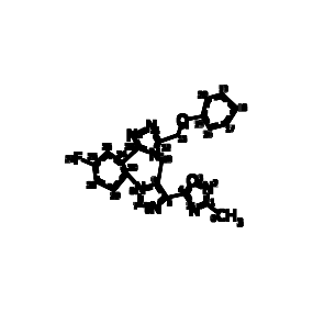 Cc1noc(-c2ncn3c2Cn2c(COc4ccccc4)nnc2-c2cc(F)ccc2-3)n1